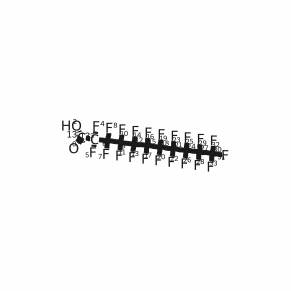 O=[13C](O)[13C](F)(F)C(F)(F)C(F)(F)C(F)(F)C(F)(F)C(F)(F)C(F)(F)C(F)(F)C(F)(F)C(F)(F)F